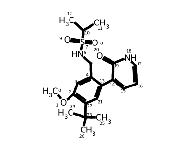 COc1cc(CNS(=O)(=O)C(C)C)c(-c2ccc[nH]c2=O)cc1C(C)(C)C